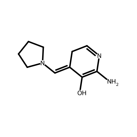 NC1=C(O)C(=CN2CCCC2)CC=N1